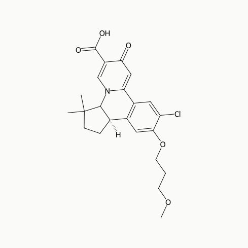 COCCCOc1cc2c(cc1Cl)-c1cc(=O)c(C(=O)O)cn1C1[C@@H]2CCC1(C)C